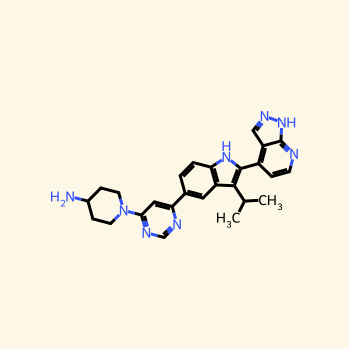 CC(C)c1c(-c2ccnc3[nH]ncc23)[nH]c2ccc(-c3cc(N4CCC(N)CC4)ncn3)cc12